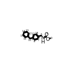 COC(=O)NCc1ccc(Cc2ccccc2)cc1